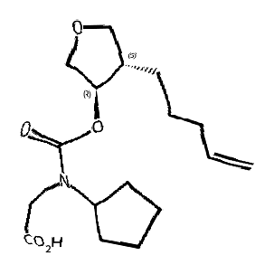 C=CCCC[C@H]1COC[C@@H]1OC(=O)N(CC(=O)O)C1CCCC1